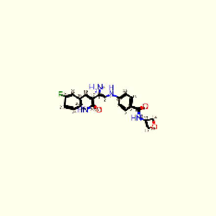 N/C(=C\Nc1ccc(C(=O)NC2COC2)cc1)c1cc2cc(F)ccc2[nH]c1=O